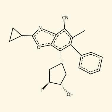 Cc1c(-c2ccccc2)c([C@@H]2C[C@H](O)[C@@H](I)C2)c2oc(C3CC3)nc2c1C#N